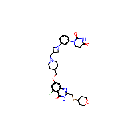 O=C1CCN(c2cccc(N3CC(CN4CCC(COc5cc(F)c6c(=O)[nH]c(CSC7CCOCC7)nc6c5)CC4)C3)c2)C(=O)N1